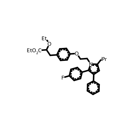 CCOC(=O)C(Cc1ccc(OCCn2c(C(C)C)cc(-c3ccccc3)c2-c2ccc(F)cc2)cc1)OCC